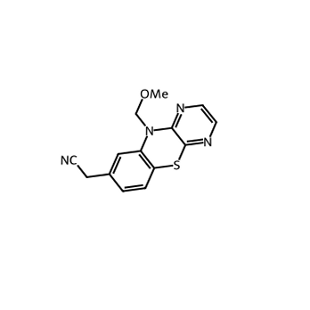 COCN1c2cc(CC#N)ccc2Sc2nccnc21